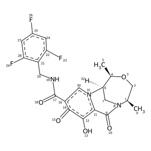 C[C@@H]1CO[C@H](C)[C@H]2CN1C(=O)c1c(O)c(=O)c(C(=O)NCc3c(F)cc(F)cc3F)cn12